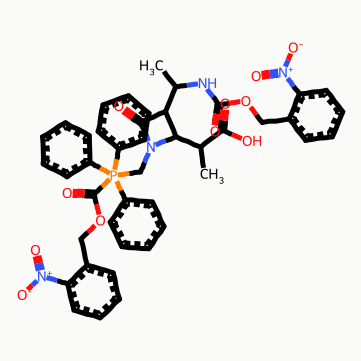 CC(NC(=O)OCc1ccccc1[N+](=O)[O-])C1C(=O)N(CP(C(=O)OCc2ccccc2[N+](=O)[O-])(c2ccccc2)(c2ccccc2)c2ccccc2)C1C(C)C(=O)O